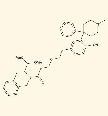 COC(CN(Cc1ccccc1C)C(=O)CCOCCc1ccc(O)c(C2(c3ccccc3)CCN(C)CC2)c1)OC